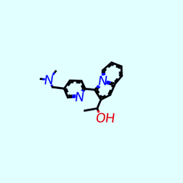 CC(O)c1cc2ccccn2c1-c1ccc(CN(C)C)cn1